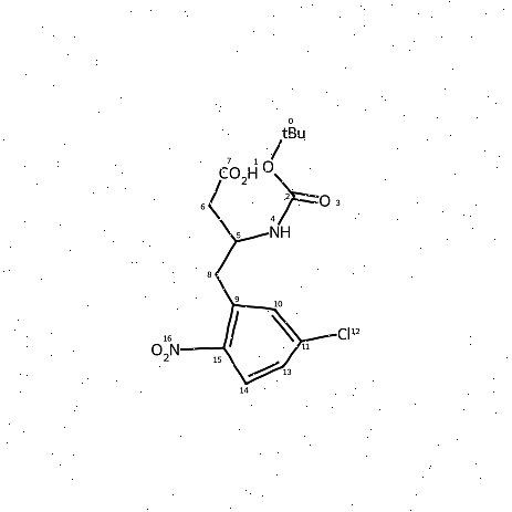 CC(C)(C)OC(=O)NC(CC(=O)O)Cc1cc(Cl)ccc1[N+](=O)[O-]